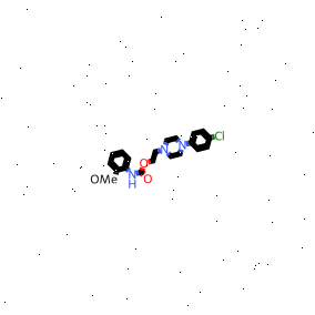 COc1ccccc1NC(=O)OCCN1CCN(c2ccc(Cl)cc2)CC1